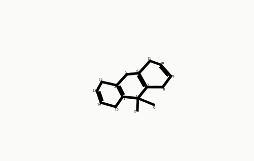 CC1(C)C2=C([CH]C3=C1CC=CC3)CC=CC2